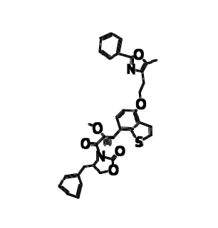 CO[C@@H](Cc1ccc(OCCc2nc(-c3ccccc3)oc2C)c2ccsc12)C(=O)N1C(=O)OCC1Cc1ccccc1